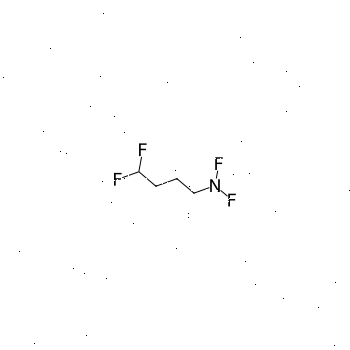 FC(F)CCCN(F)F